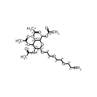 CC(=O)N[C@H]1C(OC(C)=O)[C@@H](OC(C)=O)C(COC(C)=O)O[C@H]1OCCOCCOCCN